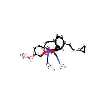 COC1CCC2(CC1)Cc1ccc(CCC3CC3)cc1C21N=C(N)N(C)C1=O